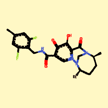 CC[C@@H]1CC[C@H](C)N2CN1n1cc(C(=O)NCc3c(F)cc(C)cc3F)c(=O)c(O)c1C2=O